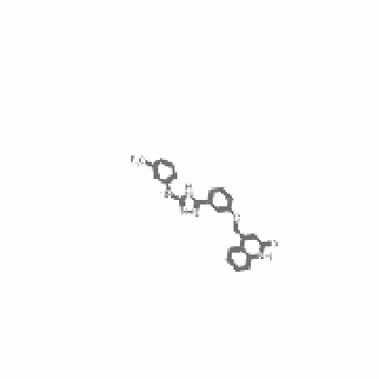 O=c1cc(COc2cccc(-c3nnc(Nc4cccc(C(F)(F)F)c4)[nH]3)c2)c2ccccc2[nH]1